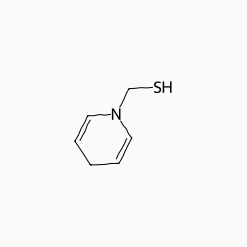 SCN1C=CCC=C1